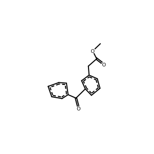 COC(=O)Cc1cccc(C(=O)c2ccccc2)c1